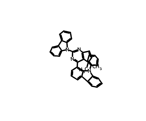 CC1(C)C=Cc2nc(-n3c4ccccc4c4ccccc43)nc(-c3cccc4c5ccccc5n(-c5ccccc5)c34)c21